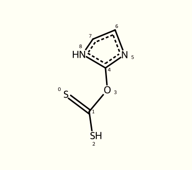 S=C(S)Oc1ncc[nH]1